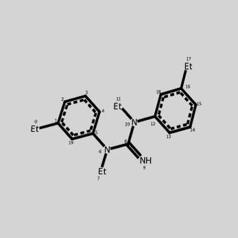 CCc1cccc(N(CC)C(=N)N(CC)c2cccc(CC)c2)c1